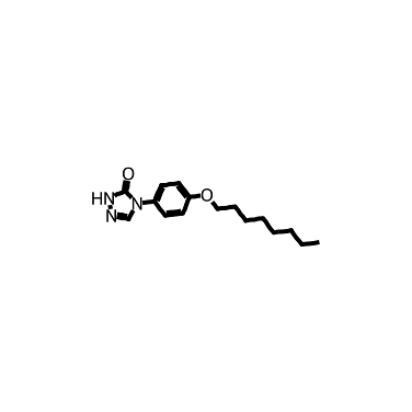 CCCCCCCCOc1ccc(-n2cn[nH]c2=O)cc1